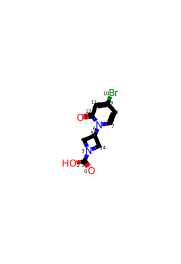 O=C(O)N1CC(n2ccc(Br)cc2=O)C1